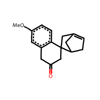 COc1ccc2c(c1)CC(=O)CC21CC2=CCC1C2